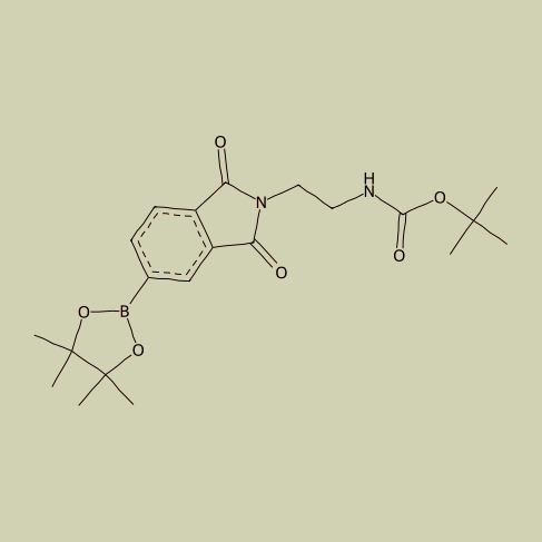 CC(C)(C)OC(=O)NCCN1C(=O)c2ccc(B3OC(C)(C)C(C)(C)O3)cc2C1=O